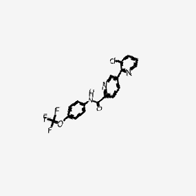 O=C(Nc1ccc(OC(F)(F)F)cc1)c1ccc(-c2ncccc2Cl)cn1